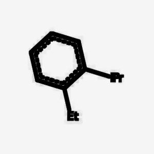 [CH2]Cc1ccccc1C(C)C